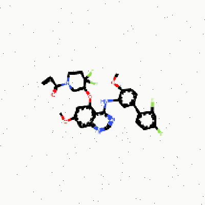 C=CC(=O)N1CCC(F)(F)C(Oc2cc(OC)cc3ncnc(Nc4cc(-c5ccc(F)cc5F)ccc4OC)c23)C1